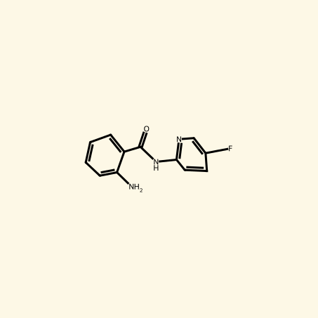 Nc1ccccc1C(=O)Nc1ccc(F)cn1